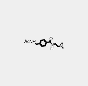 CC(=O)NCc1ccc(C(=O)NCCN(C)C)cc1